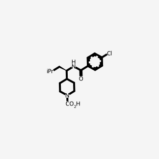 CC(C)C[C@@H](NC(=O)c1ccc(Cl)cc1)C1CCN(C(=O)O)CC1